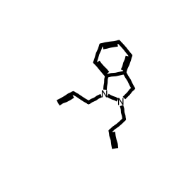 C=CCN1Cc2ccccc2N1CC=C